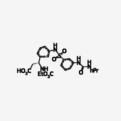 CCCNC(=O)Nc1cccc(S(=O)(=O)Nc2cccc([C@@H](CC(=O)O)NC(=O)OCC)c2)c1